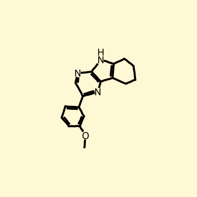 COc1cccc(-c2cnc3[nH]c4c(c3n2)CCCC4)c1